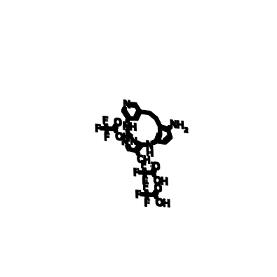 Cc1cnc2nc1Nc1ccc(N)c(c1)CCc1cncc(c1)N2.O=C(O)C(F)(F)F.O=C(O)C(F)(F)F.O=C(O)C(F)(F)F